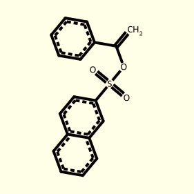 C=C(OS(=O)(=O)c1ccc2ccccc2c1)c1ccccc1